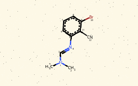 CN(C)/C=N/c1cccc(Br)c1C#N